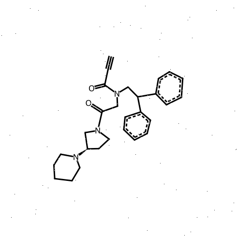 C#CC(=O)N(CC(=O)N1CC[C@@H](N2CCCCC2)C1)CC(c1ccccc1)c1ccccc1